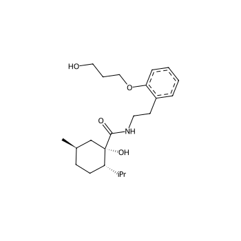 CC(C)[C@@H]1CC[C@@H](C)C[C@@]1(O)C(=O)NCCc1ccccc1OCCCO